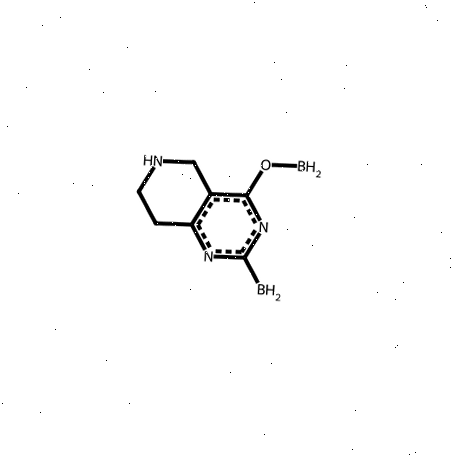 BOc1nc(B)nc2c1CNCC2